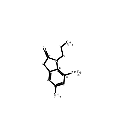 CCCN1C(=O)Cc2cc(N)cc(F)c21.[Fe]